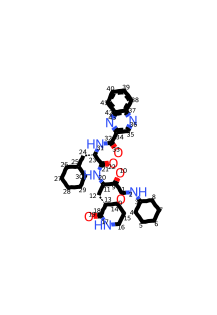 O=C(NC1CCCCC1)C(=O)C(C[C@@H]1CCCNC1=O)NC(=O)[C@H](CC1CCCCC1)NC(=O)c1cnc2ccccc2n1